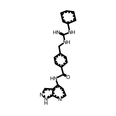 N=C(NCc1ccc(C(=O)Nc2ccnc3[nH]ncc23)cc1)Nc1ccccc1